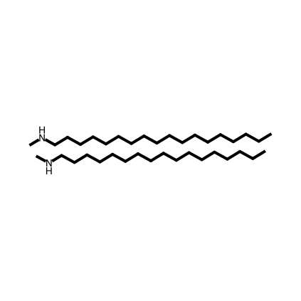 CCCCCCCCCCCCCCCCCCNC.CCCCCCCCCCCCCCCCCNC